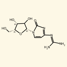 NC(N)=Nc1ccn([C@@H]2O[C@H](CO)[C@H](O)C2O)c(=O)n1